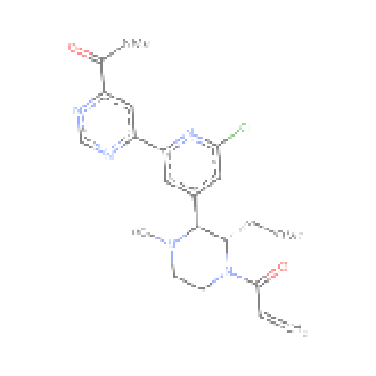 C=CC(=O)N1CCN(C(C)=O)[C@@H](c2cc(Cl)nc(-c3cc(C(=O)NC)ncn3)c2)[C@@H]1COC